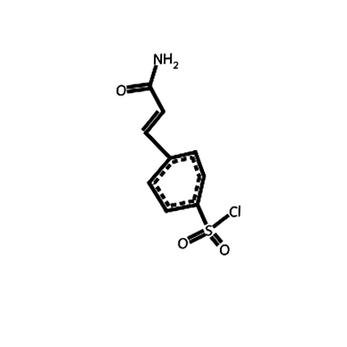 NC(=O)C=Cc1ccc(S(=O)(=O)Cl)cc1